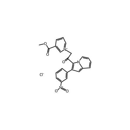 COC(=O)c1ccc[n+](CC(=O)c2c(-c3cccc([N+](=O)[O-])c3)cc3ccccn23)c1.[Cl-]